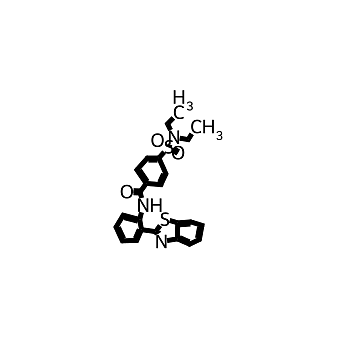 CCN(CC)S(=O)(=O)c1ccc(C(=O)Nc2ccccc2-c2nc3ccccc3s2)cc1